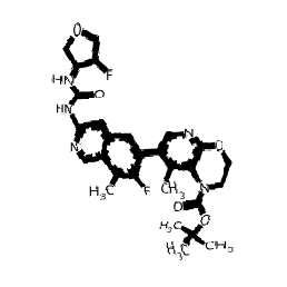 Cc1c(-c2cc3cc(NC(=O)NC4COCC4F)ncc3c(C)c2F)cnc2c1N(C(=O)OC(C)(C)C)CCO2